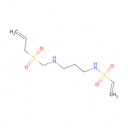 C=CCS(=O)(=O)CNCCCNS(=O)(=O)C=C